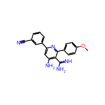 COc1ccc(-c2nc(-c3cccc(C#N)c3)cc(N)c2C(=N)N)cc1